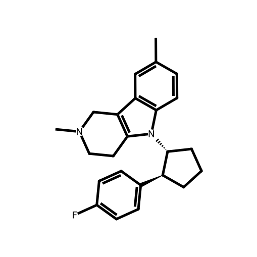 Cc1ccc2c(c1)c1c(n2[C@@H]2CCC[C@H]2c2ccc(F)cc2)CCN(C)C1